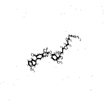 Cc1ccc(Oc2nc3cc(-c4ccc5c(ccn5C)c4)c(Cl)cc3[nH]2)cc1C(=O)NCCOCCOCCN